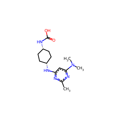 Cc1nc(N[C@H]2CC[C@@H](NC(=O)O)CC2)cc(N(C)C)n1